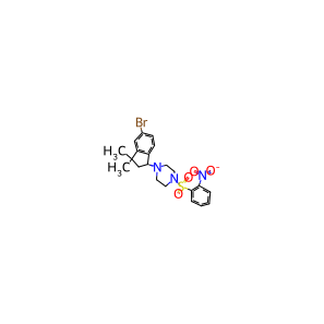 CC1(C)C[C@H](N2CCN(S(=O)(=O)c3ccccc3[N+](=O)[O-])CC2)c2ccc(Br)cc21